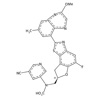 COc1cnc2c(-c3nc4cc(F)c5c(c4s3)C[C@H](CN(C(=O)O)c3cncc(C#N)c3)O5)cc(C)cc2n1